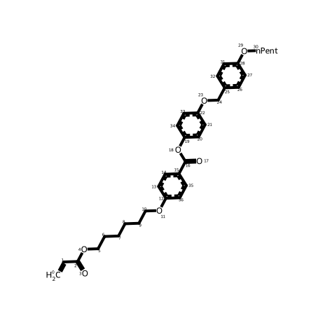 C=CC(=O)OCCCCCCOc1ccc(C(=O)Oc2ccc(OCc3ccc(OCCCCC)cc3)cc2)cc1